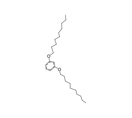 CCCCCCCCCCOc1cccc(OCCCCCCCCCC)c1